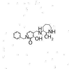 C=C1NCCCCC1NCc1ccn(Cc2ccccc2)c(=O)c1O